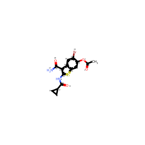 CC(=O)Oc1cc2sc(NC(=O)C3CC3)c(C(N)=O)c2cc1Br